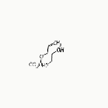 C=CCOC(=O)O.OCCO